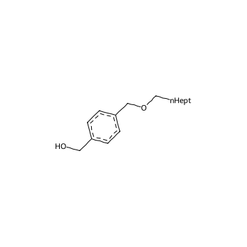 CCCCCCCCOCc1ccc(CO)cc1